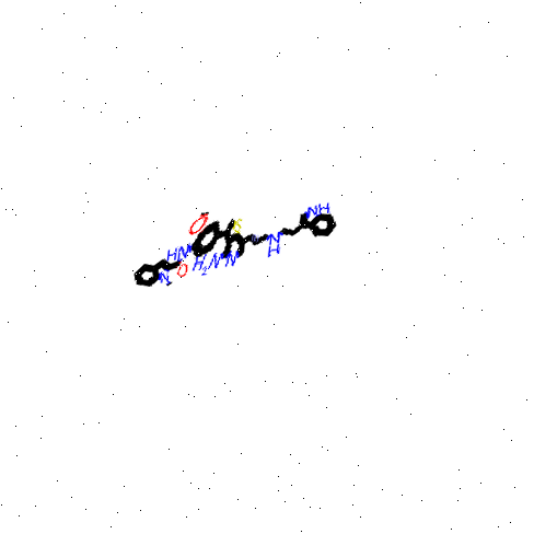 COc1cc(-c2csc3c(/C=C/CNCCc4c[nH]c5ccccc45)cnc(N)c23)ccc1NC(=O)c1cc2ccccc2n1C